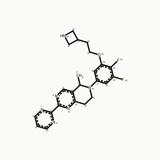 CC1c2cnc(-c3ncccn3)nc2CCN1c1cc(F)c(F)c(OCCC2CNC2)c1